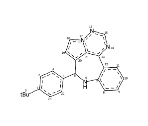 CC(C)(C)c1ccc(C2Nc3ccccc3-c3ncnn4ccc2c34)cc1